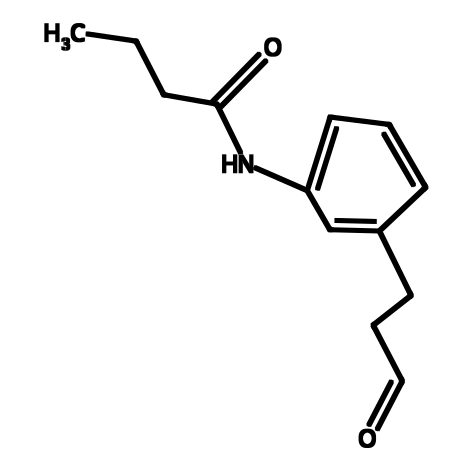 CCCC(=O)Nc1cccc(CCC=O)c1